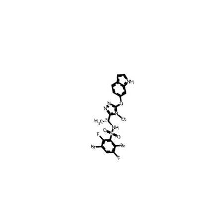 CCn1c(Oc2ccc3cc[nH]c3c2)nnc1[C@@H](C)NS(=O)(=O)c1c(F)c(Br)cc(F)c1Br